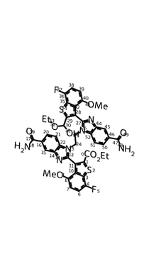 CCOC(=O)c1sc2c(F)ccc(OC)c2c1-c1nc2cc(C(N)=O)ccc2n1CCn1c(-c2c(C(O)OCC)sc3c(F)ccc(OC)c23)nc2cc(C(N)=O)ccc21